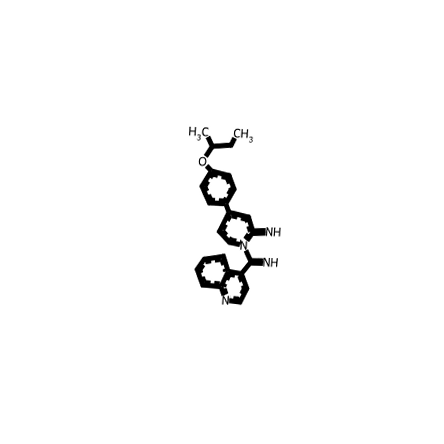 CCC(C)Oc1ccc(-c2ccn(C(=N)c3ccnc4ccccc34)c(=N)c2)cc1